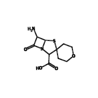 NC1C(=O)N2C1SC1(CCOCC1)C2C(=O)O